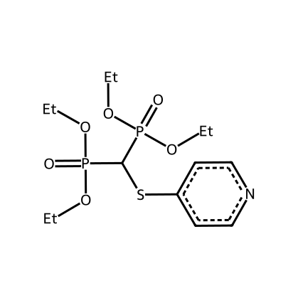 CCOP(=O)(OCC)C(Sc1ccncc1)P(=O)(OCC)OCC